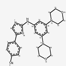 N#Cc1ccc(-c2cnc(Nc3cc(N4CCOCC4)cc(N4CCOCC4)c3)o2)cc1